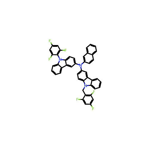 Fc1cc(F)c(Cn2c3ccccc3c3cc(N(c4ccc5ccccc5c4)c4ccc5c(c4)c4ccccc4n5-c4c(F)cc(F)cc4F)ccc32)c(F)c1